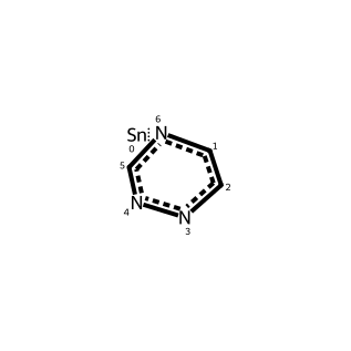 [Sn].c1cnncn1